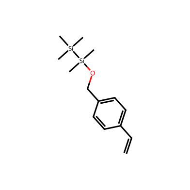 C=Cc1ccc(CO[Si](C)(C)[Si](C)(C)C)cc1